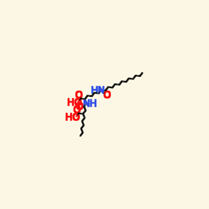 CCCCCCCCCCCC(=O)NCCCCC(NC(=O)CC(CCCCCC)C(=O)O)C(=O)O